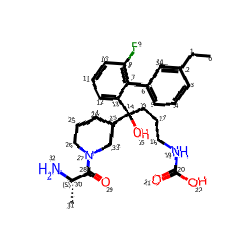 CCc1cccc(-c2c(F)cccc2C(O)(CCCNC(=O)O)C2CCCN(C(=O)[C@H](C)N)C2)c1